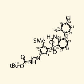 CSc1sc(/N=C/NC(=O)OC(C)(C)C)cc1S(=O)(=O)c1cccc(-c2ccc(Cl)cc2C)c1N